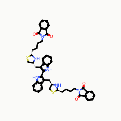 O=C1c2ccccc2C(=O)N1CCCC[C@@H]1N[C@H](Cc2c(-c3[nH]c4ccccc4c3C[C@@H]3CS[C@H](CCCCN4C(=O)c5ccccc5C4=O)N3)[nH]c3ccccc23)CS1